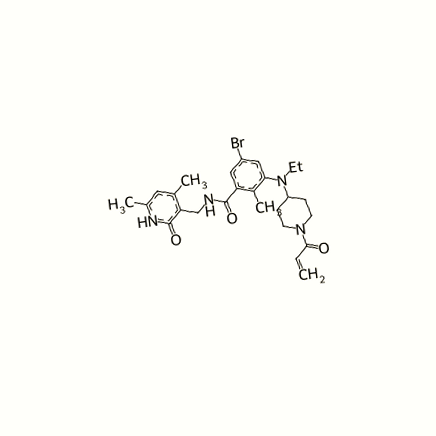 C=CC(=O)N1CCC(N(CC)c2cc(Br)cc(C(=O)NCc3c(C)cc(C)[nH]c3=O)c2C)CC1